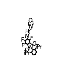 CC(C)c1cccc(C(C)C)c1N1C(=O)c2c(F)c(F)c(NCCCN3CCOCC3)c(F)c2C1=O